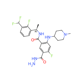 C[C@@H](NC(=O)c1cc(C(=O)NN)c(F)cc1NC1CCN(C)CC1)c1cccc(C(F)F)c1F